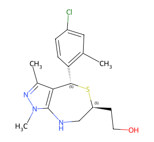 Cc1cc(Cl)ccc1[C@@H]1S[C@@H](CCO)CNc2c1c(C)nn2C